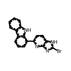 Brc1nc2nc(-c3cccc4c3[nH]c3ccccc34)ccc2[nH]1